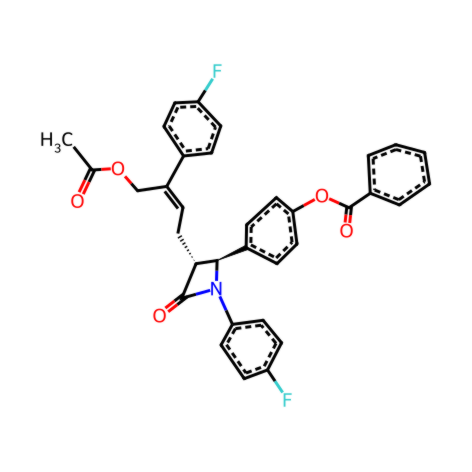 CC(=O)OC/C(=C\C[C@H]1C(=O)N(c2ccc(F)cc2)[C@@H]1c1ccc(OC(=O)c2ccccc2)cc1)c1ccc(F)cc1